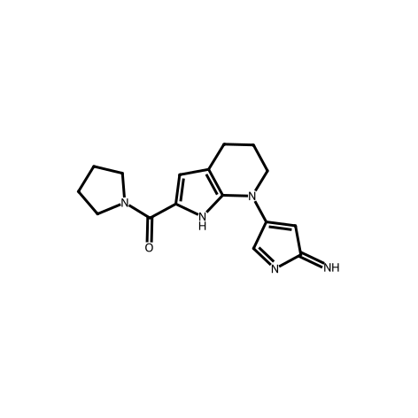 N=C1C=C(N2CCCc3cc(C(=O)N4CCCC4)[nH]c32)C=N1